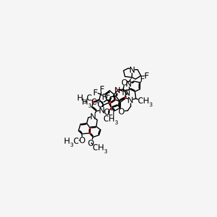 COc1ccc(CN(Cc2ccc(OC)cc2)c2cc(C)c(C(F)(F)F)c(-c3c(Cl)c4c5c(nc(OC[C@@]67CCCN6C[C@H](F)C7)nc5c3F)N(C(C)c3cc(F)cnc3N(Cc3ccc(OC)cc3)Cc3ccc(OC)cc3)CCO4)n2)cc1